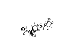 c1ccc(CSc2ccc3c(cnn3C3COC3)c2)cc1